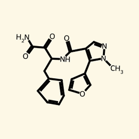 Cn1ncc(C(=O)NC(Cc2ccccc2)C(=O)C(N)=O)c1-c1ccoc1